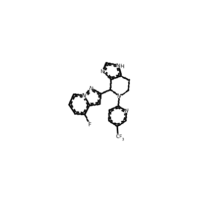 Fc1cccn2nc(C3c4nc[nH]c4CCN3c3ccc(C(F)(F)F)cn3)cc12